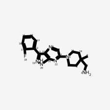 CC1(CN)CCN(c2cnc3c(-c4ccccc4F)n[nH]c3n2)CC1